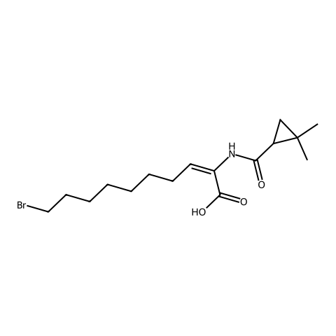 CC1(C)CC1C(=O)N/C(=C/CCCCCCCBr)C(=O)O